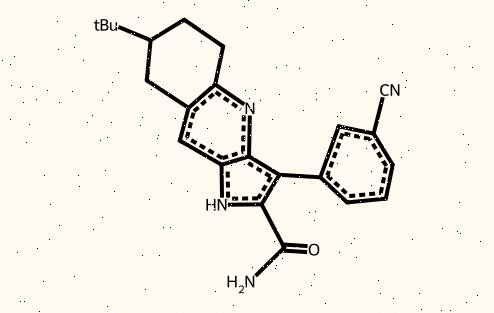 CC(C)(C)C1CCc2nc3c(-c4cccc(C#N)c4)c(C(N)=O)[nH]c3cc2C1